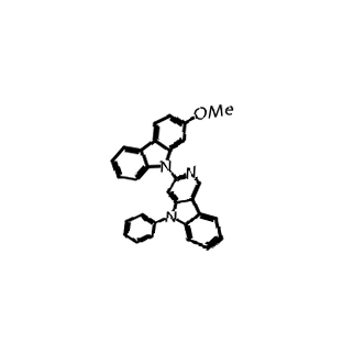 COc1ccc2c3ccccc3n(-c3cc4c(cn3)c3ccccc3n4-c3ccccc3)c2c1